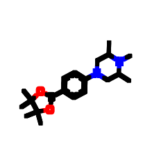 CC1CN(c2ccc(B3OC(C)(C)C(C)(C)O3)cc2)CC(C)N1C